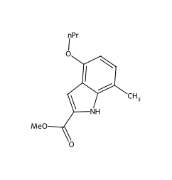 CCCOc1ccc(C)c2[nH]c(C(=O)OC)cc12